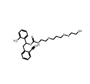 C#Cc1ccccc1CC(OC(=O)NCCOCCCSSCCO)c1ccccc1C